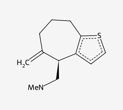 C=C1CCCc2sccc2[C@H]1CNC